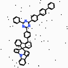 c1ccc(-c2ccc(-c3ccc(-c4nc(-c5ccccc5)nc(-c5ccc(-c6cccc7c6-c6ccccc6C76c7ccccc7-n7c8ccccc8c8cccc6c87)cc5)n4)cc3)cc2)cc1